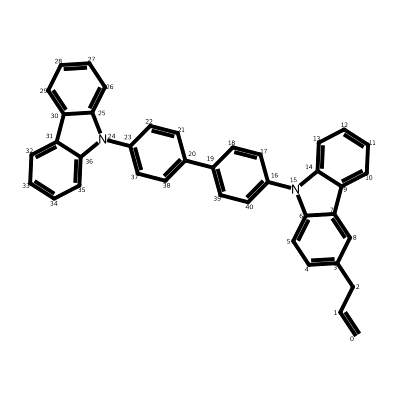 C=CCc1ccc2c(c1)c1ccccc1n2-c1ccc(-c2ccc(-n3c4ccccc4c4ccccc43)cc2)cc1